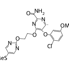 COc1ccc(Cl)c(Oc2[c]nc(C(N)=O)nc2OCCOc2ncc(SC)cn2)c1